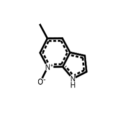 Cc1cc2cc[nH]c2[n+]([O-])c1